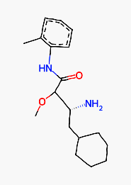 COC(C(=O)Nc1ccccc1C)[C@H](N)CC1CCCCC1